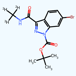 [2H]C([2H])([2H])NC(=O)c1nn(C(=O)OC(C)(C)C)c2cc(Br)ccc12